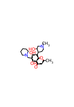 Cc1cc(=O)c2c(O)c(CN3CCCCC3)c(O)c(C3CCN(C)CC3O)c2o1